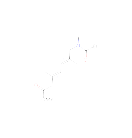 CCC(=O)N(C)C/C(C)=C/C=C(\C)CC(=O)OC